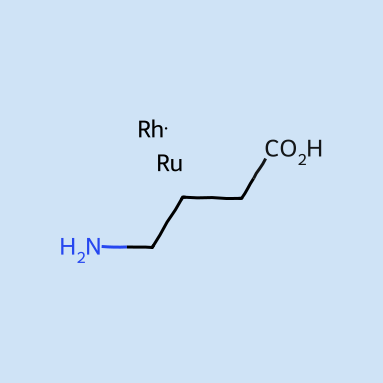 NCCCC(=O)O.[Rh].[Ru]